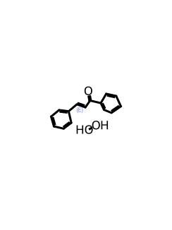 O=C(/C=C/c1ccccc1)c1ccccc1.OO